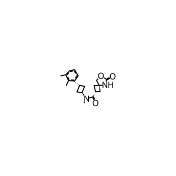 Cc1cccc([C@H]2C[C@H](N(C)C(=O)[C@H]3C[C@]4(COC(=O)N4)C3)C2)c1C